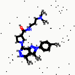 Cc1ccc(-n2nc3c(N4CCC(C(=O)NCCCN(C)C)C4)nnc(C)c3c2C)cc1